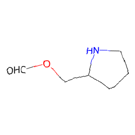 O=COCC1CCCN1